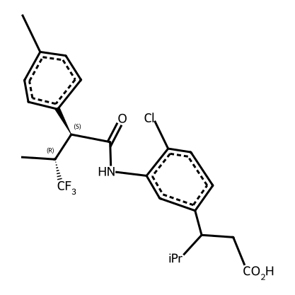 Cc1ccc([C@@H](C(=O)Nc2cc(C(CC(=O)O)C(C)C)ccc2Cl)[C@@H](C)C(F)(F)F)cc1